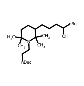 CCCCCCCCCCCCN1C(C)(C)CCC(CCCC(O)CCCC)C1(C)C